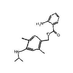 Cc1cc(NC(C)C)c(C)cc1COC(=O)c1ccccc1N